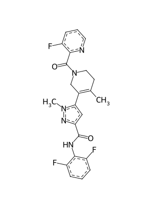 CC1=C(c2cc(C(=O)Nc3c(F)cccc3F)nn2C)CN(C(=O)c2ncccc2F)CC1